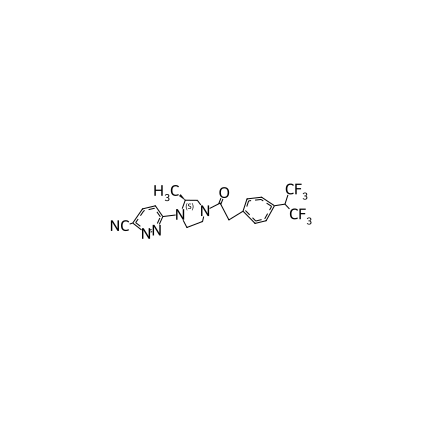 C[C@H]1CN(C(=O)Cc2ccc(C(C(F)(F)F)C(F)(F)F)cc2)CCN1c1ccc(C#N)nn1